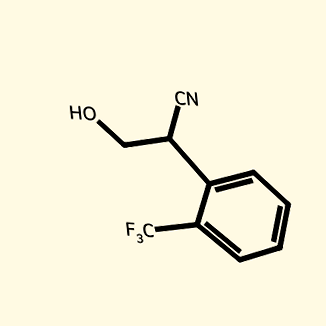 N#CC(CO)c1ccccc1C(F)(F)F